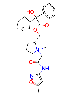 Cc1cc(NC(=O)C[N+]2(C)CCC[C@@H]2COC(=O)C(O)(c2ccccc2)C2CCCCC2)no1